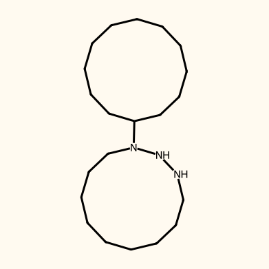 C1CCCCCC(N2CCCCCCCCCNN2)CCCCC1